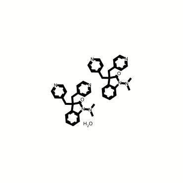 CN(C)N1C(=O)C(Cc2ccncc2)(Cc2ccncc2)c2ccccc21.CN(C)N1C(=O)C(Cc2ccncc2)(Cc2ccncc2)c2ccccc21.O